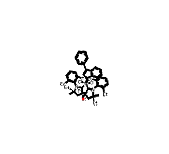 CCc1cccc(CC)c1N1[CH]([Ru]([Cl])([Cl])(=[C]2C=C(c3ccccc3)c3ccccc32)[CH]2N(c3c(CC)cccc3CC)[C@](C)(CC)C[C@@]2(C)CC)[C@@](C)(CC)C[C@]1(C)CC